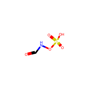 O=CNOS(=O)(=O)O